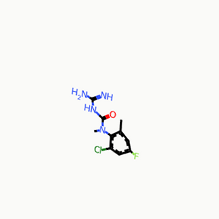 Cc1cc(F)cc(Cl)c1N(C)C(=O)NC(=N)N